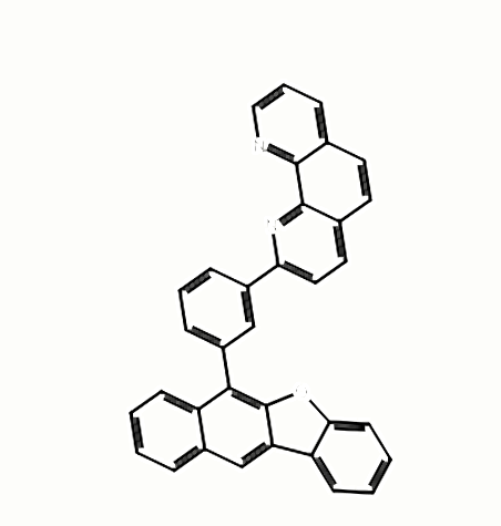 c1cc(-c2ccc3ccc4cccnc4c3n2)cc(-c2c3ccccc3cc3c2oc2ccccc23)c1